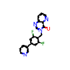 O=c1c2ncccc2ncn1Cc1c(F)cc(-c2cccnc2)cc1F